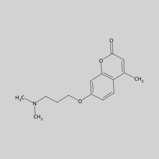 Cc1cc(=O)oc2cc(OCCCN(C)C)ccc12